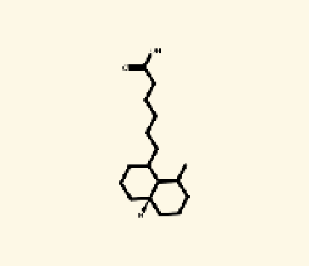 CC1CCC[C@@H]2CCCC(CCCCCC(=O)O)C12